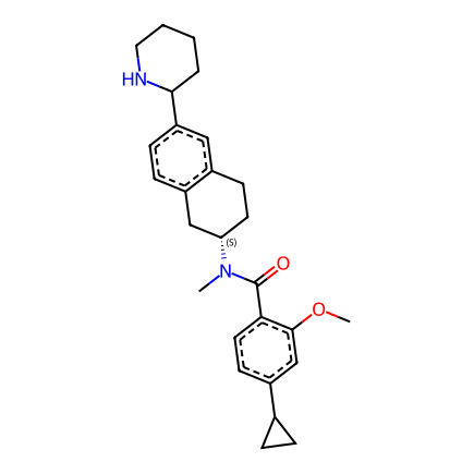 COc1cc(C2CC2)ccc1C(=O)N(C)[C@H]1CCc2cc(C3CCCCN3)ccc2C1